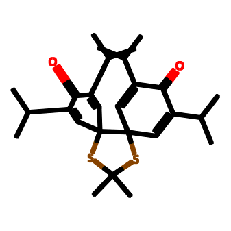 CC(C)C1=CC2(C=C(C(C)C)C1=O)SC(C)(C)SC21C=C(C(C)C)C(=O)C(C(C)C)=C1